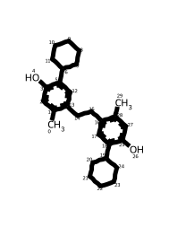 Cc1cc(O)c(C2CCCCC2)cc1CCc1cc(C2CCCCC2)c(O)cc1C